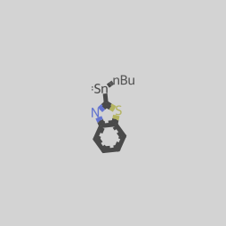 CCC[CH2][Sn][c]1nc2ccccc2s1